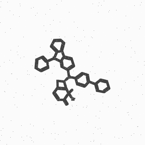 C=C1C=CC2=C([C@H](N(c3ccc(-c4ccccc4)cc3)c3ccc4c5ccccc5n(-c5ccccc5)c4c3)C2)C1(C)Br